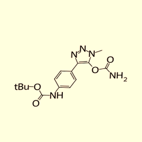 Cn1nnc(-c2ccc(NC(=O)OC(C)(C)C)cc2)c1OC(N)=O